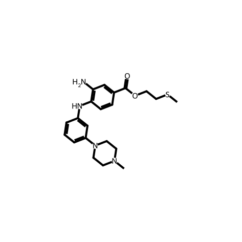 CSCCOC(=O)c1ccc(Nc2cccc(N3CCN(C)CC3)c2)c(N)c1